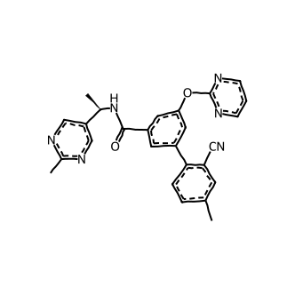 Cc1ccc(-c2cc(Oc3ncccn3)cc(C(=O)N[C@H](C)c3cnc(C)nc3)c2)c(C#N)c1